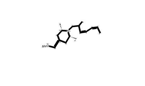 C/C=C\C=C/C(C)CN1[C@H](C)C/C(=C/OC)C[C@@H]1C